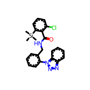 C[Si](C)(C)c1cccc(Cl)c1C(=O)NCc1ccccc1-n1nnc2ccccc21